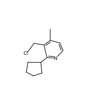 Cc1ccnc(C2CCCC2)c1CCl